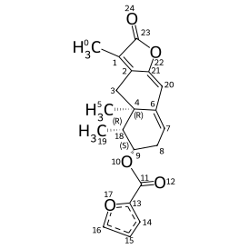 CC1=C2C[C@@]3(C)C(=CC[C@H](OC(=O)c4ccco4)[C@@H]3C)C=C2OC1=O